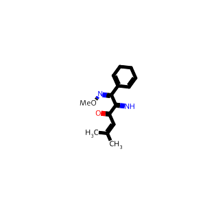 CO/N=C(\C(=N)C(=O)C=C(C)C)C1=CCCC=C1